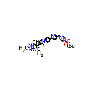 CC1=Nc2nc(C)nn2C(C)C1(C)C[C@@H]1CCN(c2ccc(-c3ccc(CN4CCN(C(=O)OC(C)(C)C)CC4)cn3)cc2)C1